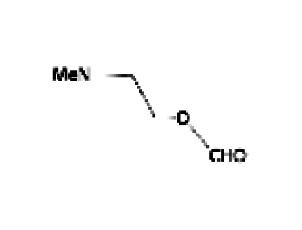 CNCCO[C]=O